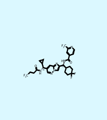 O=C(CCC(F)(F)F)N[C@@H](c1cnn2cc([C@@H](NC(=O)c3ccnc(C(F)(F)F)c3)C3CCC(F)(F)CC3)nc2c1)C1CC1